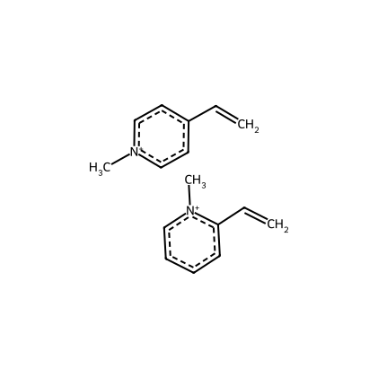 C=Cc1cc[n+](C)cc1.C=Cc1cccc[n+]1C